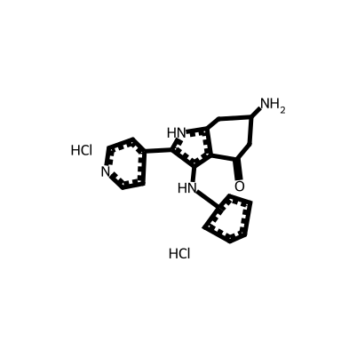 Cl.Cl.NC1CC(=O)c2c([nH]c(-c3ccncc3)c2Nc2ccccc2)C1